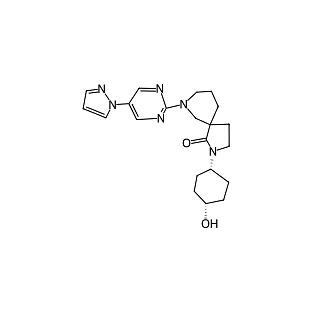 O=C1N([C@H]2CC[C@@H](O)CC2)CCC12CCCN(c1ncc(-n3cccn3)cn1)C2